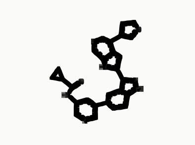 O=C(Nc1cncc(-c2ccc3[nH]nc(-c4cc5c(-c6ccoc6)cncc5[nH]4)c3c2)c1)C1CC1